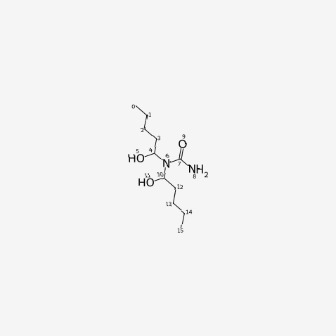 CCCCC(O)N(C(N)=O)C(O)CCCC